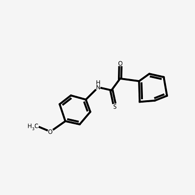 COc1ccc(NC(=S)C(=O)c2ccccc2)cc1